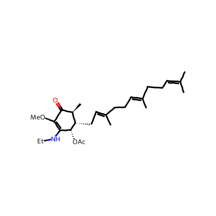 CCNC1=C(OC)C(=O)[C@@H](C)[C@H](C/C=C(\C)CC/C=C(\C)CCC=C(C)C)[C@@H]1OC(C)=O